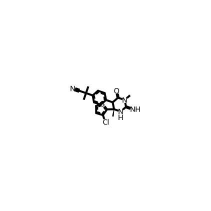 CN1C(=N)N[C@](C)(c2sccc2Cl)C(c2ccc(C(C)(C)C#N)cc2)C1=O